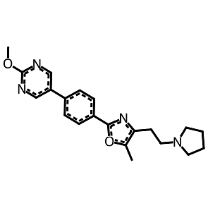 COc1ncc(-c2ccc(-c3nc(CCN4CCCC4)c(C)o3)cc2)cn1